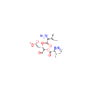 CCC(C)C(N)C(=O)OC([C]=O)C(CC(=O)OC)OC(=O)C(N)C(C)CC